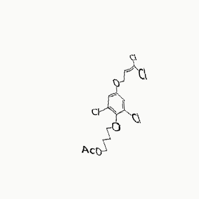 CC(=O)OCCCCOc1c(Cl)cc(OCC=C(Cl)Cl)cc1Cl